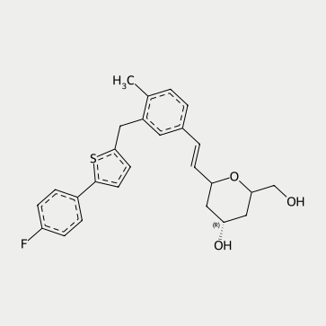 Cc1ccc(C=CC2C[C@@H](O)CC(CO)O2)cc1Cc1ccc(-c2ccc(F)cc2)s1